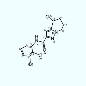 O=C(Nc1cccc(Br)c1Cl)c1cc2n(n1)CCCC2Cl